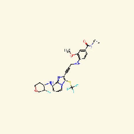 CNC(=O)c1ccc(NCC#Cc2nc3c(N[C@@H]4CCOC[C@@H]4F)cccn3c2SC(F)(F)F)c(OC)c1